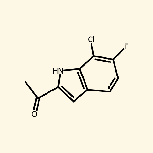 CC(=O)c1cc2ccc(F)c(Cl)c2[nH]1